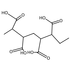 CCC(C(=O)O)C(CC(C(=O)O)C(C)C(=O)O)C(=O)O